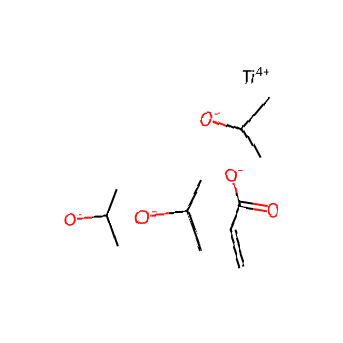 C=CC(=O)[O-].CC(C)[O-].CC(C)[O-].CC(C)[O-].[Ti+4]